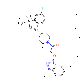 CC(C)(C)c1cc(F)ccc1OC1CCN(C(=O)COn2nnc3ccccc32)CC1